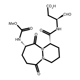 COC(=O)N[C@H]1CCC(=O)N2CCC[C@@H](C(=O)N[C@H](C=O)CC(=O)O)N2C1=O